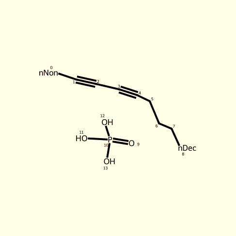 CCCCCCCCCC#CC#CCCCCCCCCCCCCC.O=P(O)(O)O